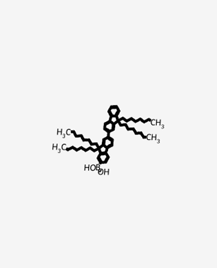 CCCCCCCCC1(CCCCCCCC)c2ccccc2-c2ccc(-c3ccc4c(c3)C(CCCCCCCC)(CCCCCCCC)c3cc(B(O)O)ccc3-4)cc21